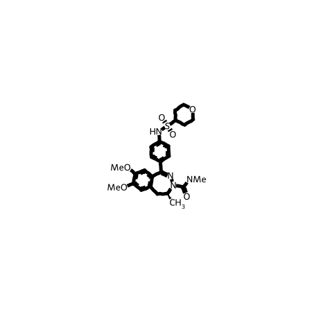 CNC(=O)N1N=C(c2ccc(NS(=O)(=O)C3CCOCC3)cc2)c2cc(OC)c(OC)cc2C[C@@H]1C